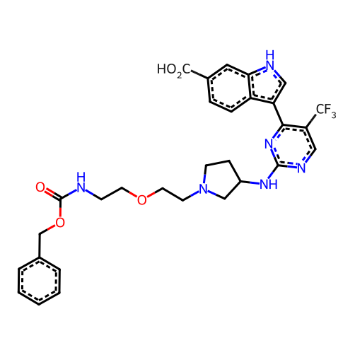 O=C(NCCOCCN1CCC(Nc2ncc(C(F)(F)F)c(-c3c[nH]c4cc(C(=O)O)ccc34)n2)C1)OCc1ccccc1